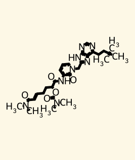 CN(C)C(=O)C=CCCC(OC(=O)N(C)C)C(=O)Nc1cccn(Cc2nc3c(CCC(C)(C)C)ncnc3[nH]2)c1=O